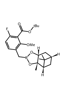 COc1c(CB2O[C@@H]3C[C@@H]4C[C@@H](C4(C)C)[C@]3(C)O2)ccc(F)c1C(=O)OC(C)(C)C